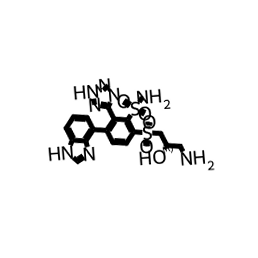 NC[C@@H](O)CS(=O)(=O)c1ccc(-c2cccc3[nH]cnc23)c(-c2nn[nH]n2)c1S(N)(=O)=O